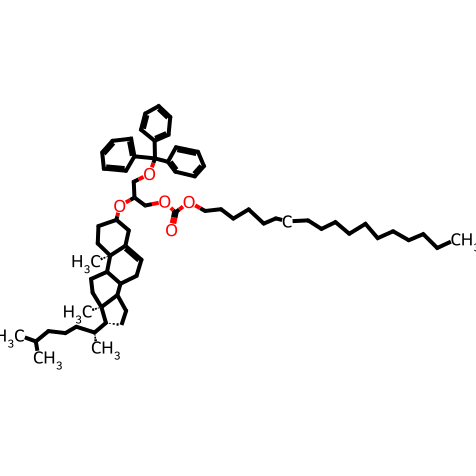 CCCCCCCCCCCCCCCCCCOC(=O)OCC(COC(c1ccccc1)(c1ccccc1)c1ccccc1)OC1CC[C@@]2(C)C(=CCC3C2CC[C@@]2(C)C3CC[C@@H]2[C@H](C)CCCC(C)C)C1